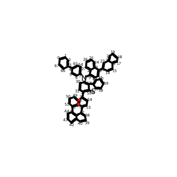 c1ccc(-c2ccc(N(c3ccc(-c4ccc5ccccc5c4)c4ccccc34)c3ccc(-c4ccc(-c5cccc6cccc(-c7ccccc7)c56)cc4)c4sc5ccccc5c34)cc2)cc1